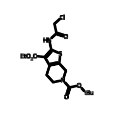 CCOC(=O)c1c(NC(=O)CCl)sc2c1CCN(C(=O)OC(C)(C)C)C2